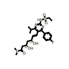 CCS(=O)(=O)Nc1nc(-c2ccc(F)cc2)c(/C=C/[C@@H](O)C[C@@H](O)CC(=O)N(C)C)c(C(C)C)n1